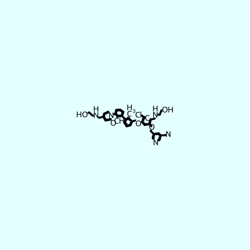 Cc1c(COc2cc(OCc3cncc(C#N)c3)c(CNCCO)cc2Cl)cccc1-c1cccc(-n2ccc(CNCCO)cc2=O)c1C